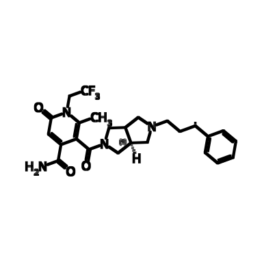 Cc1c(C(=O)N2CC3CN(CC[CH]c4ccccc4)C[C@H]3C2)c(C(N)=O)cc(=O)n1CC(F)(F)F